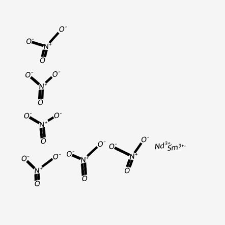 O=[N+]([O-])[O-].O=[N+]([O-])[O-].O=[N+]([O-])[O-].O=[N+]([O-])[O-].O=[N+]([O-])[O-].O=[N+]([O-])[O-].[Nd+3].[Sm+3]